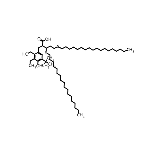 CCCCCCCCCCCCCCCCCCSCCC(SCCCCCCCCCCCCCCCCCC)C(Cc1cc(C(C)(C)C)c(O)c(CC)c1CC)C(=O)O